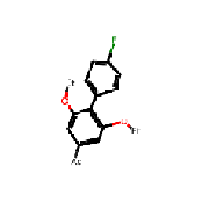 CCOc1cc(C(C)=O)cc(OCC)c1-c1ccc(F)cc1